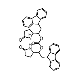 O=C1CCC(C(CC2c3ccccc3-c3ccccc32)OC(=O)OC(CC2c3ccccc3-c3ccccc32)C2CCC(=O)N2)N1